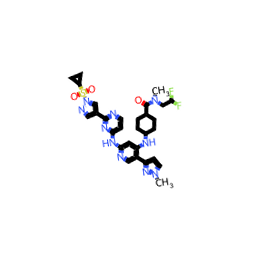 CN(CC(F)F)C(=O)C1CCC(Nc2cc(Nc3ccnc(-c4cnn(S(=O)(=O)C5CC5)c4)n3)ncc2-c2ccn(C)n2)CC1